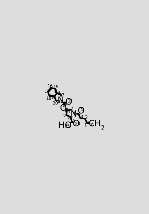 C=CCCC(=O)N1C[C@H](OC(=O)N2Cc3ccccc3C2)CC1C(=O)O